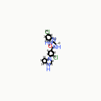 C[C@H](NC(=O)c1ccc(N2CCNC3CCCC32)c(Cl)c1)c1nc2cc(Cl)ccc2[nH]1